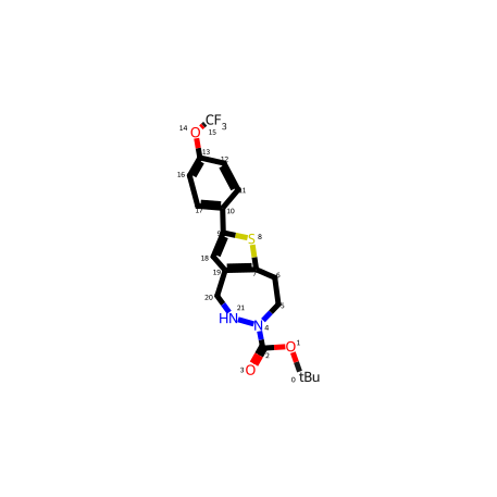 CC(C)(C)OC(=O)N1CCc2sc(-c3ccc(OC(F)(F)F)cc3)cc2CN1